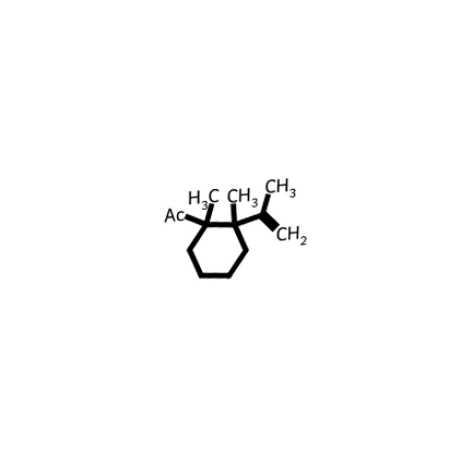 C=C(C)C1(C)CCCCC1(C)C(C)=O